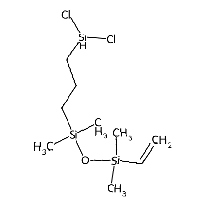 C=C[Si](C)(C)O[Si](C)(C)CCC[SiH](Cl)Cl